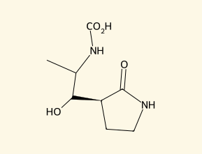 CC(NC(=O)O)C(O)[C@@H]1CCNC1=O